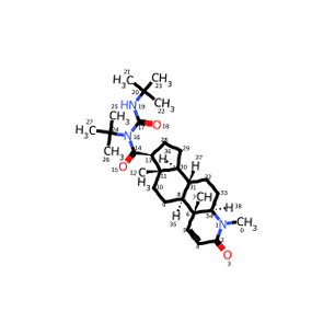 CN1C(=O)C=C[C@]2(C)[C@H]3CC[C@]4(C)[C@@H](C(=O)N(C(=O)NC(C)(C)C)C(C)(C)C)CC[C@H]4[C@@H]3CC[C@@H]12